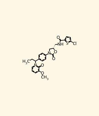 CCC(c1ccc(N2C[C@H](CNC(=O)c3ccc(Cl)s3)OC2=O)cc1)n1cccc(OC)c1=O